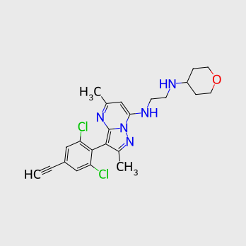 C#Cc1cc(Cl)c(-c2c(C)nn3c(NCCNC4CCOCC4)cc(C)nc23)c(Cl)c1